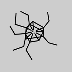 CC[C]12[CH]3[CH]4[C]5(CC)[C]1(CC)[Fe]34251678[CH]2[C]1(CC)[C]6(CC)[C]7(CC)[C]28CC